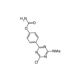 CNc1nc(Cl)nc(-c2ccc(OC(N)=O)cc2)n1